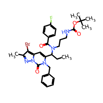 CCC(c1cc2c(Br)c(C)nn2c(=O)n1Cc1ccccc1)N(CCCNC(=O)OC(C)(C)C)C(=O)c1ccc(F)cc1